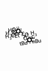 CCCCc1cc(C(C)(C)C)c(OC(=O)CCc2ccc(O)c(C(C)(C)CC)c2)cc1C